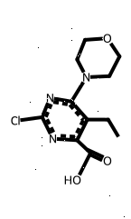 CCc1c(C(=O)O)nc(Cl)nc1N1CCOCC1